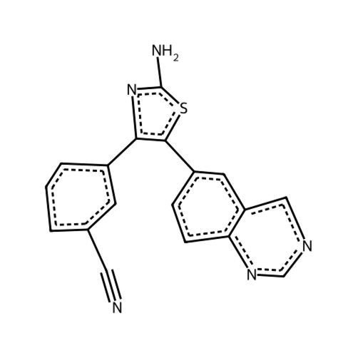 N#Cc1cccc(-c2nc(N)sc2-c2ccc3ncncc3c2)c1